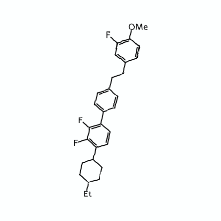 CCC1CCC(c2ccc(-c3ccc(CCc4ccc(OC)c(F)c4)cc3)c(F)c2F)CC1